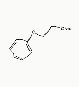 COC[CH]Oc1ccccc1